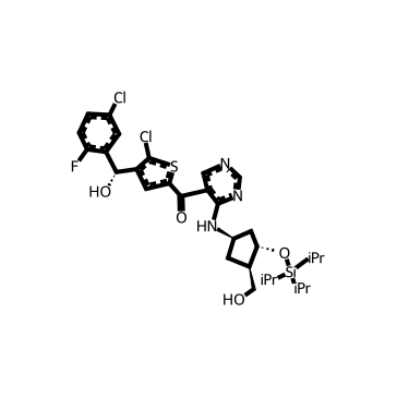 CC(C)[Si](O[C@H]1C[C@H](Nc2ncncc2C(=O)c2cc([C@H](O)c3cc(Cl)ccc3F)c(Cl)s2)C[C@@H]1CO)(C(C)C)C(C)C